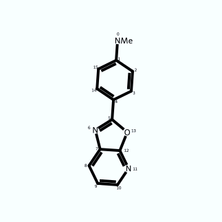 CNc1ccc(-c2nc3cccnc3o2)cc1